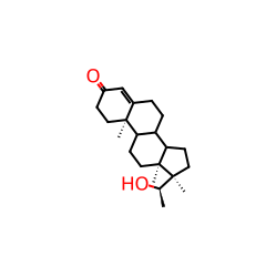 C[C@@H](O)[C@]1(C)CCC2C3CCC4=CC(=O)CC[C@]4(C)C3CC[C@@]21C